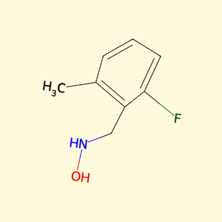 Cc1cccc(F)c1CNO